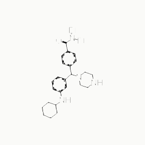 CCN(CC)C(=O)c1ccc(C(c2cccc(NC3CCCCC3)c2)N2CCNCC2)cc1